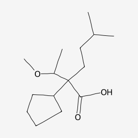 COC(C)C(CCC(C)C)(C(=O)O)C1CCCC1